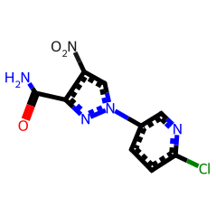 NC(=O)c1nn(-c2ccc(Cl)nc2)cc1[N+](=O)[O-]